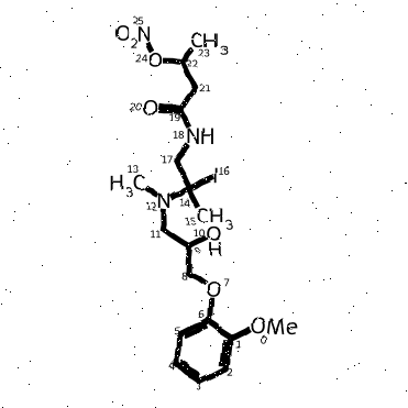 COc1ccccc1OCC(O)CN(C)C(C)(I)CNC(=O)CC(C)O[N+](=O)[O-]